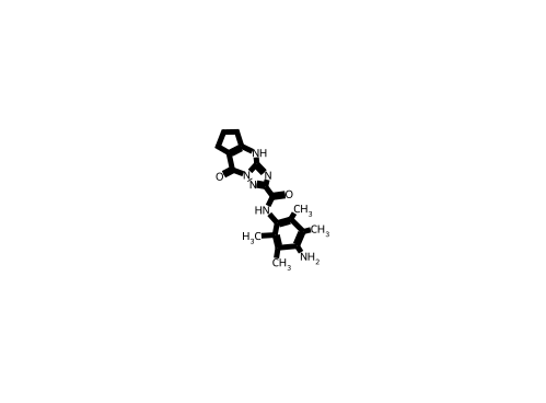 Cc1c(C)c(NC(=O)c2nc3[nH]c4c(c(=O)n3n2)CCC4)c(C)c(C)c1N